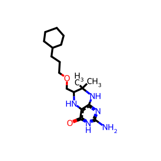 CC1(C)Nc2nc(N)[nH]c(=O)c2NC1COCCCC1CCCCC1